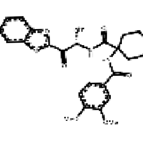 CCC[C@H](NC(=O)C1(NC(=O)c2ccc(OC)c(OC)c2)CCCCC1)C(=O)c1nc2ccccc2o1